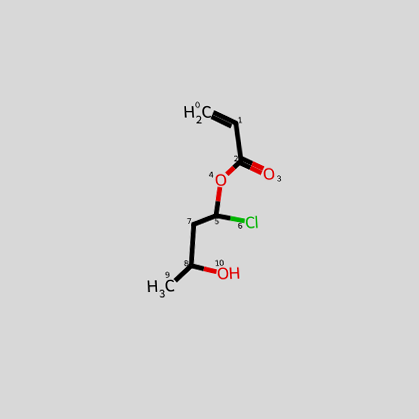 C=CC(=O)OC(Cl)CC(C)O